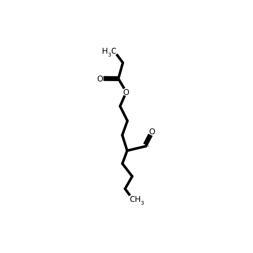 CCCCC([C]=O)CCCOC(=O)CC